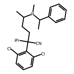 CC(CCC(C#N)(c1c(Cl)cccc1Cl)C(C)C)N(C)C(C)c1ccccc1